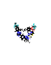 Cc1ccc(OCC(F)(F)F)c(N2C(=O)CS/C2=N\C(=S)NNC(C)c2ccc(-c3ncn(-c4ccc(C(F)(F)F)cc4)n3)cc2)c1